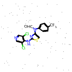 O=CN(c1ccc(C(F)(F)F)cc1)c1csc(Nc2c(Cl)cncc2Cl)n1